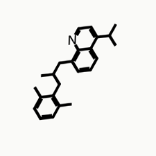 Cc1cccc(C)c1CC(C)Cc1cccc2c(C(C)C)ccnc12